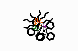 CCCC[PH](CCCC)(CCCC)[Pt]([Cl])([Cl])([PH](CCCC)(CCCC)CCCC)[Pt]([I])([I])([AsH](c1ccccc1)(c1ccccc1)c1ccccc1)[AsH](c1ccccc1)(c1ccccc1)c1ccccc1